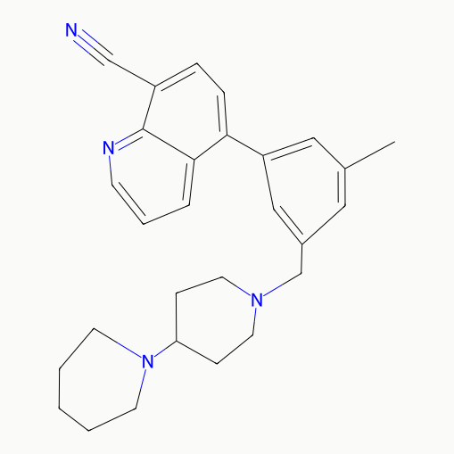 Cc1cc(CN2CCC(N3CCCCC3)CC2)cc(-c2ccc(C#N)c3ncccc23)c1